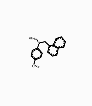 CCCCCCN(Cc1cccc2ccccc12)c1ccc(OC)cc1